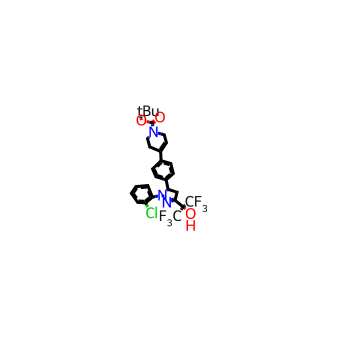 CC(C)(C)OC(=O)N1CC=C(c2ccc(C3CC(C(O)(C(F)(F)F)C(F)(F)F)=NN3c3ccccc3Cl)cc2)CC1